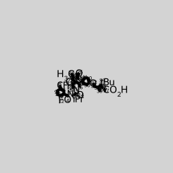 CC(C)C(NC(=O)c1cc(C(F)(F)F)ccc1F)C(=O)N1CCC2(CC1)C(=O)N(C)C(=O)N2c1ccc(OCC2CN(C(=O)O)[C@H]2C(C)(C)C)cc1